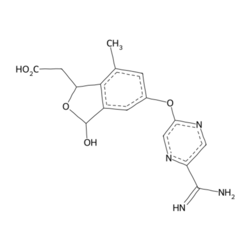 Cc1cc(Oc2cnc(C(=N)N)cn2)cc2c1C(CC(=O)O)OC2O